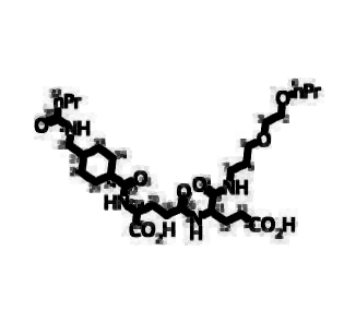 CCCOCCOCCCNC(=O)C(CCC(=O)O)NC(=O)CCC(NC(=O)C1CCC(CNC(=O)CCC)CC1)C(=O)O